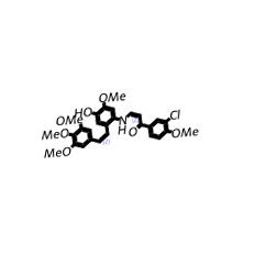 COc1cc(N/C=C\C(=O)c2ccc(OC)c(Cl)c2)c(/C=C\c2cc(OC)c(OC)c(OC)c2)cc1O